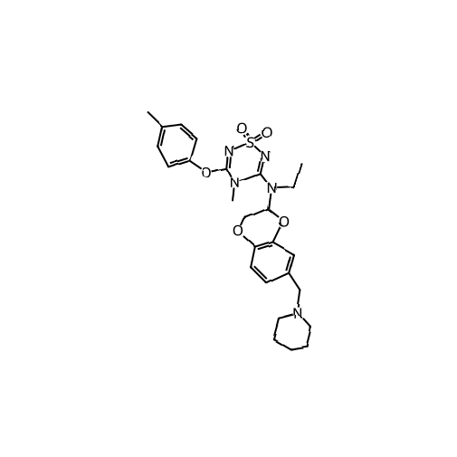 CCN(C1=NS(=O)(=O)N=C(Oc2ccc(C)cc2)N1C)C1COc2ccc(CN3CCCCC3)cc2O1